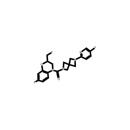 O=C(N1CC2(C1)CN(c1ccc(F)cn1)C2)N1CC(CF)Oc2cc(F)ccc21